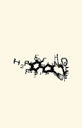 O=C1Nc2cc(-c3c(F)c(F)c(P)c(F)c3F)ccc2OC1(F)F